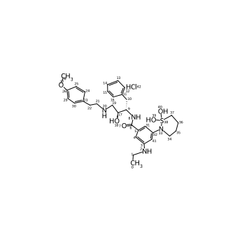 CCNc1cc(C(=O)N[C@@H](Cc2ccccc2)[C@@H](O)CNCCc2ccc(OC)cc2)cc(N2CCCCS2(O)O)c1.Cl